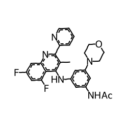 CC(=O)Nc1cc(Nc2c(C)c(-c3ccccn3)nc3cc(F)cc(F)c23)cc(N2CCOCC2)c1